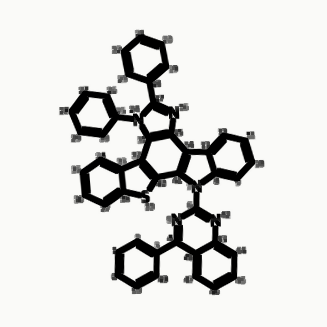 c1ccc(-c2nc(-n3c4ccccc4c4c5nc(-c6ccccc6)n(-c6ccccc6)c5c5c6ccccc6sc5c43)nc3ccccc23)cc1